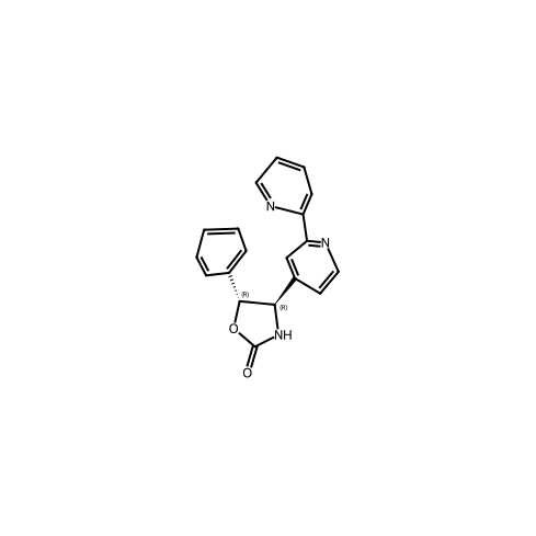 O=C1N[C@H](c2ccnc(-c3ccccn3)c2)[C@@H](c2ccccc2)O1